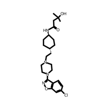 CC(C)(O)CC(=O)N[C@H]1CC[C@H](CCN2CCN(c3noc4cc(Cl)ccc34)CC2)CC1